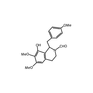 COc1ccc(CC2c3c(cc(OC)c(OC)c3O)CCN2C=O)cc1